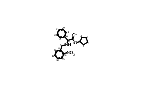 O=C(OC1CCCC1)C(NCc1ccccc1[N+](=O)[O-])c1ccccc1